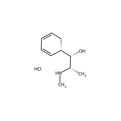 CN[C@@H](C)[C@@H](O)[C@@H]1C=CC=CC1.Cl